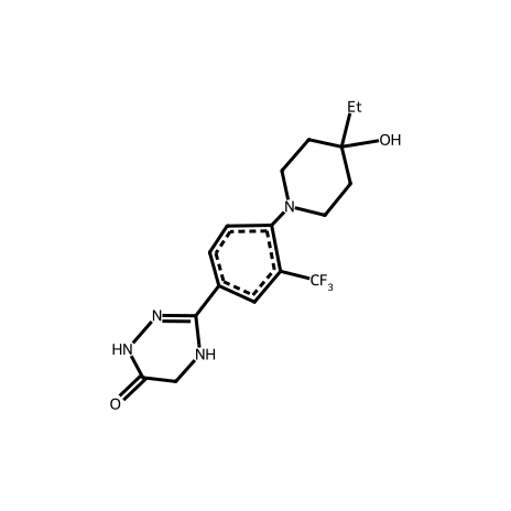 CCC1(O)CCN(c2ccc(C3=NNC(=O)CN3)cc2C(F)(F)F)CC1